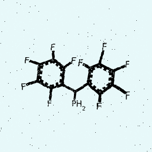 Fc1c(F)c(F)c(C(P)c2c(F)c(F)c(F)c(F)c2F)c(F)c1F